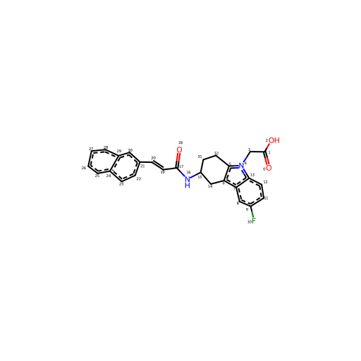 O=C(O)Cn1c2c(c3cc(F)ccc31)CC(NC(=O)C=Cc1ccc3ccccc3c1)CC2